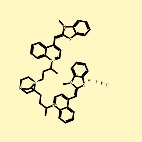 CC(CCC1CN2CC[N+]1(CCC(C)[n+]1ccc(C=C3Sc4ccccc4N3C)c3ccccc31)CC2)[n+]1ccc(C=C2Sc3ccccc3N2C)c2ccccc21.I.[I-].[I-].[I-]